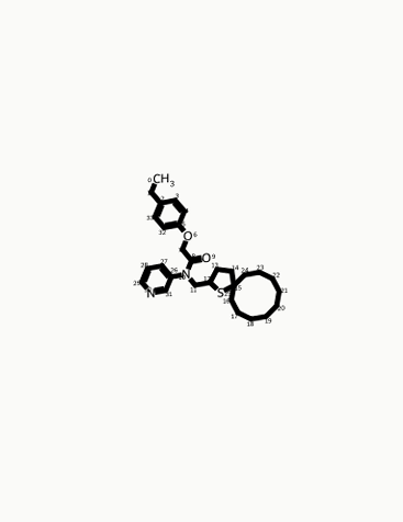 CCc1ccc(OCC(=O)N(CC2CCC3(CCCCCCCCC3)S2)c2cccnc2)cc1